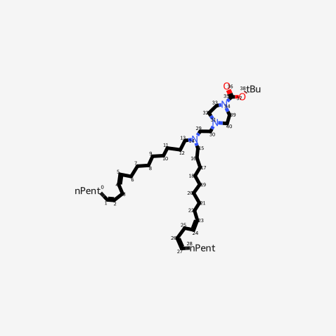 CCCCC/C=C\C/C=C\CCCCCCCCN(CCCCCCCC/C=C\C/C=C\CCCCC)CCN1CCN(C(=O)OC(C)(C)C)CC1